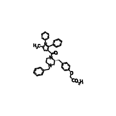 Cc1cc(C(=O)N2CCN(Cc3ccccc3)C[C@H]2Cc2ccc(OCC(=O)O)cc2)c(-c2ccccc2)n1-c1ccccc1